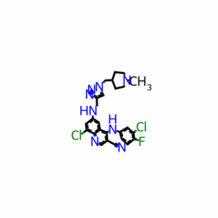 CN1CCC(Cn2cc(CNc3cc(Cl)c4ncc(C#N)c(Nc5ccc(F)c(Cl)c5)c4c3)nn2)CC1